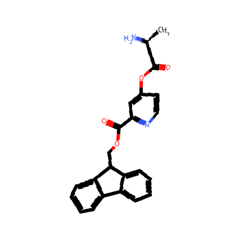 C[C@H](N)C(=O)Oc1ccnc(C(=O)OCC2c3ccccc3-c3ccccc32)c1